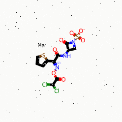 O=C(NC1CN(S(=O)(=O)[O-])C1=O)/C(=N/OC(=O)C(Cl)Cl)c1cccs1.[Na+]